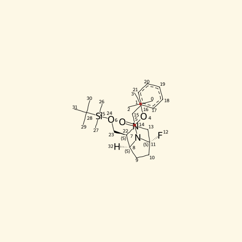 CC(C)(C)OC(=O)N1[C@H]2CC[C@]1(F)CN(Cc1ccccc1)[C@@H]2CO[Si](C)(C)C(C)(C)C